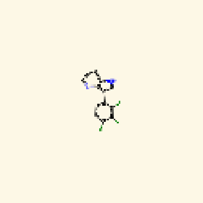 Fc1ccc(-c2c[nH]c3cccnc23)c(F)c1F